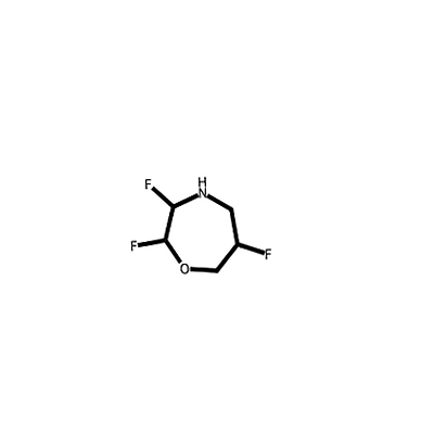 FC1CNC(F)C(F)OC1